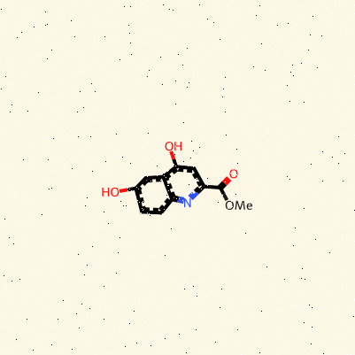 COC(=O)c1cc(O)c2cc(O)ccc2n1